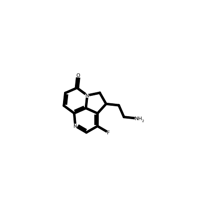 NCCC1Cn2c(=O)ccc3ncc(F)c1c32